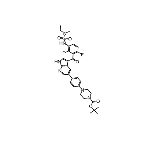 CCN(C)S(=O)(=O)Nc1ccc(F)c(C(=O)c2c[nH]c3ncc(-c4ccc(N5CCN(C(=O)OC(C)(C)C)CC5)cc4)cc23)c1F